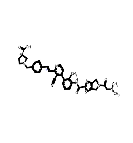 Cc1c(NC(=O)c2nc3c(s2)CN(C(=O)CN(C)C)C3)cccc1-c1ccnc(/C=C/c2ccc(CN3CC[C@@H](C(=O)O)C3)cc2)c1C#N